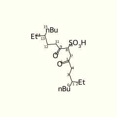 CCCCC(CC)CCC(=O)CC(C(=O)CCC(CC)CCCC)S(=O)(=O)O